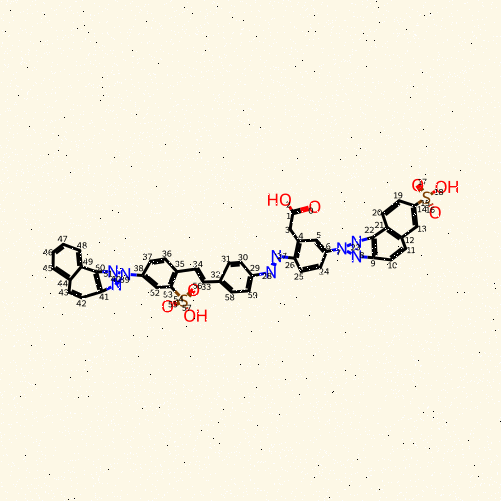 O=C(O)Cc1cc(-n2n3c4ccc5cc(S(=O)(=O)O)ccc5c4n23)ccc1N=Nc1ccc(C=Cc2ccc(-n3n4c5ccc6ccccc6c5n34)cc2S(=O)(=O)O)cc1